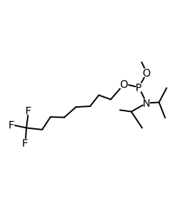 COP(OCCCCCCCC(F)(F)F)N(C(C)C)C(C)C